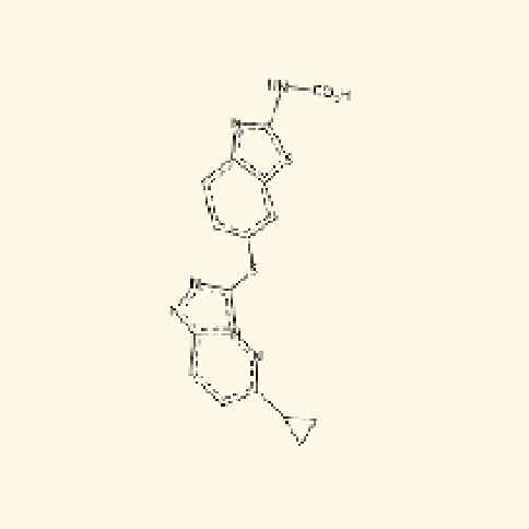 O=C(O)Nc1nc2ccc(Sc3nnc4ccc(C5CC5)nn34)cc2s1